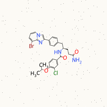 CC(C)Oc1ccc(C(=O)N[C@H](CCC(N)=O)Cc2ccc(-c3cn4cccc(Br)c4n3)cc2)cc1Cl